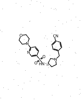 N#Cc1ccc(CN2CC[C@H](NS(=O)(=O)c3ccc(N4CCOCC4)nc3)C2)cc1